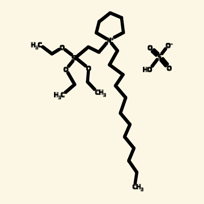 CCCCCCCCCCCC[N+]1(CC[Si](OCC)(OCC)OCC)CCCCC1.O=S(=O)([O-])O